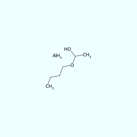 CCCCOC(C)O.[AlH3]